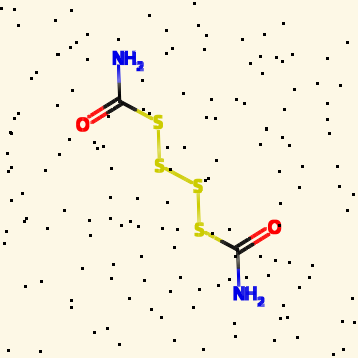 NC(=O)SSSSC(N)=O